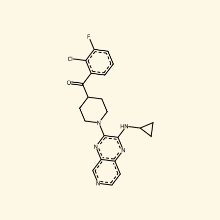 O=C(c1cccc(F)c1Cl)C1CCN(c2nc3cnccc3nc2NC2CC2)CC1